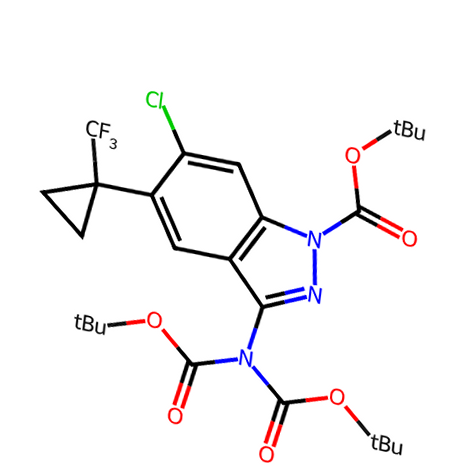 CC(C)(C)OC(=O)N(C(=O)OC(C)(C)C)c1nn(C(=O)OC(C)(C)C)c2cc(Cl)c(C3(C(F)(F)F)CC3)cc12